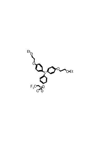 CCOCCOc1ccc([S+](c2ccccc2)c2ccc(OCCOCC)cc2)cc1.O=S(=O)([O-])CC(F)(F)F